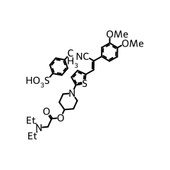 CCN(CC)CC(=O)OC1CCN(c2ccc(/C=C(\C#N)c3ccc(OC)c(OC)c3)s2)CC1.Cc1ccc(S(=O)(=O)O)cc1